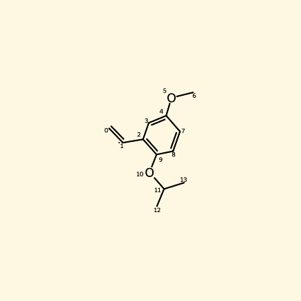 C=[C]c1cc(OC)ccc1OC(C)C